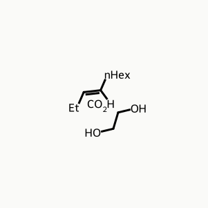 CCC=C(CCCCCC)C(=O)O.OCCO